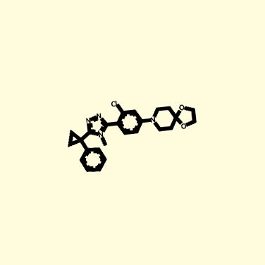 Cn1c(-c2ccc(N3CCC4(CC3)OCCO4)cc2Cl)nnc1C1(c2ccccc2)CC1